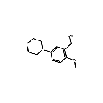 COc1ccc(N2CCCCC2)cc1CO